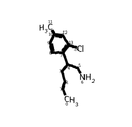 CCCCC(CN)c1ccc(C)cc1Cl